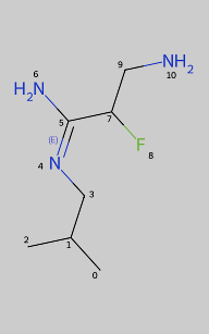 CC(C)C/N=C(/N)C(F)CN